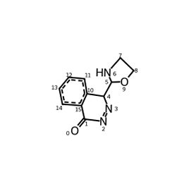 O=C1N=NC(C2NCCO2)c2ccccc21